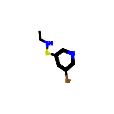 CCNSc1cncc(Br)c1